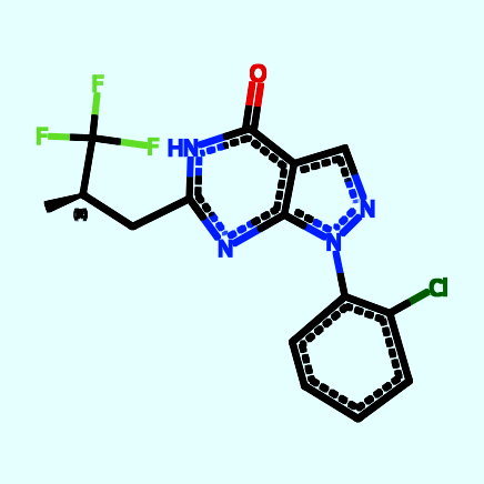 C[C@H](Cc1nc2c(cnn2-c2ccccc2Cl)c(=O)[nH]1)C(F)(F)F